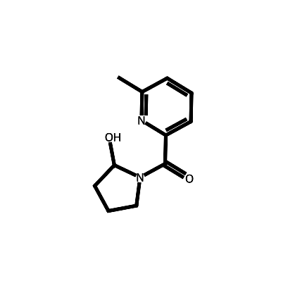 Cc1cccc(C(=O)N2CCC[C]2O)n1